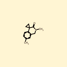 Cc1ccc2c(c1)CN(C)C(=O)C21CC1